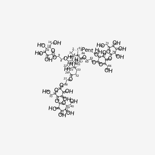 CCC[C@@H](C)[C@H]1CC[C@H]2[C@@H]3[C@H](OCCOC4OC(CO)C(O)C(O)C4O)C[C@@H]4C[C@H](OCCOC5OC(CO)C(OC6OC(CO)C(O)C(O)C6O)C(O)C5O)CC[C@]4(C)[C@H]3C[C@H](OCCOC3OC(CO)C(OC4OC(CO)C(O)C(O)C4O)C(O)C3O)[C@]12C